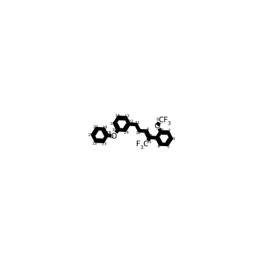 FC(F)(F)Oc1ccccc1C(=CCCc1cccc(Oc2ccccc2)c1)C(F)(F)F